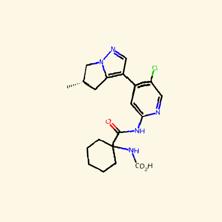 C[C@H]1Cc2c(-c3cc(NC(=O)C4(NC(=O)O)CCCCC4)ncc3Cl)cnn2C1